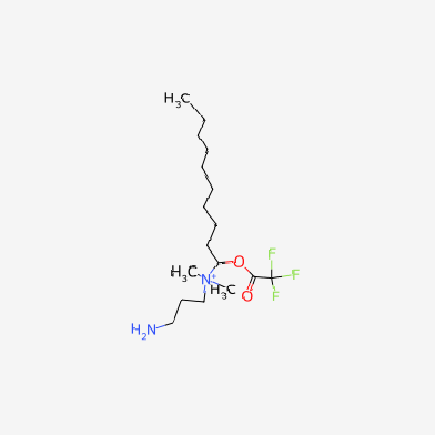 CCCCCCCCCC(OC(=O)C(F)(F)F)[N+](C)(C)CCCN